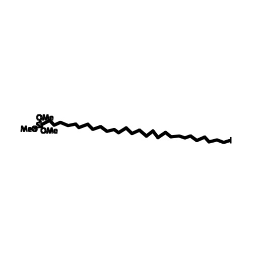 CO[Si](CCCCCCCCCCCCCCCCCCCCCCCCCCCCI)(OC)OC